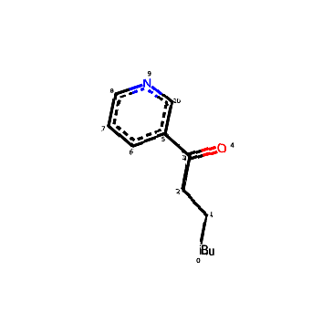 CCC(C)CCC(=O)c1cccnc1